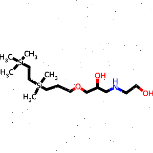 C[Si](C)(C)CC[Si](C)(C)CCCOCC(O)CNCCO